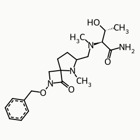 C[C@@H](O)[C@@H](C(N)=O)N(C)CC1CCC2(CN(OCc3ccccc3)C2=O)N1C